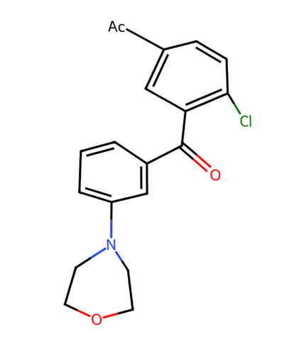 CC(=O)c1ccc(Cl)c(C(=O)c2cccc(N3CCOCC3)c2)c1